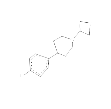 CC(C)c1ccc(C2CCN(C3COC3)CC2)cc1